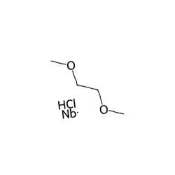 COCCOC.Cl.[Nb]